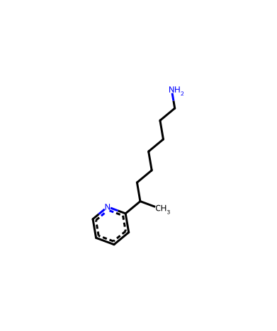 CC(CCCCCCN)c1ccccn1